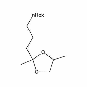 CCCCCCCCCC1(C)OCC(C)O1